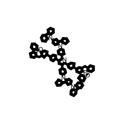 O=P1(c2ccccc2)c2ccccc2Cc2cc(-c3ccc(-c4cc(-c5ccc(-n6c7ccccc7c7cc(-n8c9ccccc9c9ccccc98)ccc76)cc5)c(-c5ccc(-c6ccc7c(c6)Cc6ccccc6P7(=O)c6ccccc6)cc5)nc4-c4ccc(-n5c6ccccc6c6cc(-n7c8ccccc8c8ccccc87)ccc65)cc4)cc3)ccc21